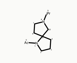 CC(=O)N1CCCC12CCN(C(C)C)C2